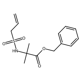 C=CCS(=O)(=O)NC(C)(C)C(=O)OCc1ccccc1